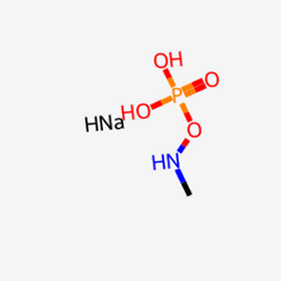 CNOP(=O)(O)O.[NaH]